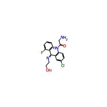 NCC(=O)Nc1ccc(Cl)cc1/C(=N\CCO)c1ccccc1F